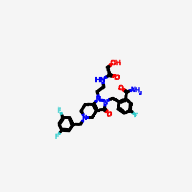 NC(=O)c1cc(F)ccc1Cn1c(=O)c2c(n1CCNC(=O)CO)CCN(Cc1cc(F)cc(F)c1)C2